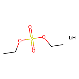 CCOS(=O)(=O)OCC.[LiH]